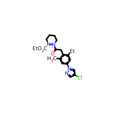 CCOC(=O)N1CCCCN1C(=O)Cc1c(C)cc(-n2cc(Cl)cn2)cc1CC